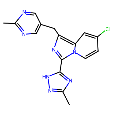 Cc1ncc(Cc2nc(-c3nc(C)n[nH]3)n3ccc(Cl)cc23)cn1